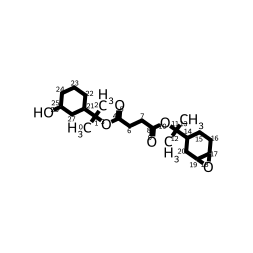 CC(C)(OC(=O)CCC(=O)OC(C)(C)C1CCC2OC2C1)C1CCCC(O)C1